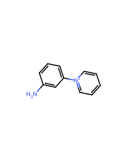 Nc1cccc(-[n+]2ccccc2)c1